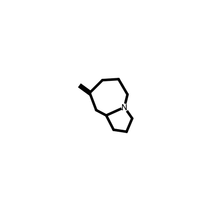 C=C1CCCN2CCCC2C1